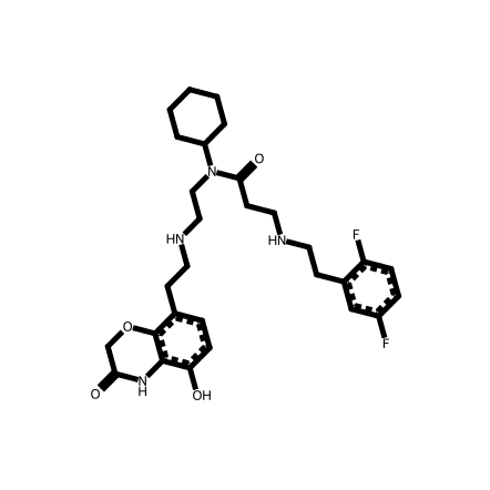 O=C1COc2c(CCNCCN(C(=O)CCNCCc3cc(F)ccc3F)C3CCCCC3)ccc(O)c2N1